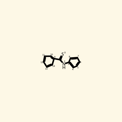 S=C(Nc1ccccc1)c1ccccc1